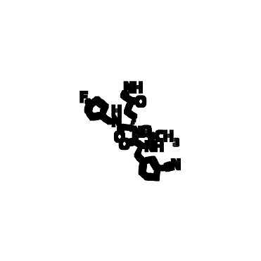 CC(=O)N[C@@H](Cc1cccc(C#N)c1)C(=O)N[C@@H](CCC(=O)C=N)C(=O)NCc1ccc(F)cc1